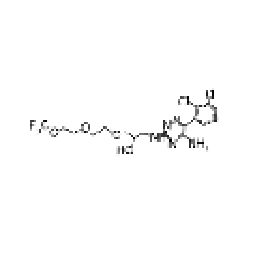 Nc1nc(NCC(O)COCCOCCOC(F)(F)F)nnc1-c1cccc(Cl)c1Cl